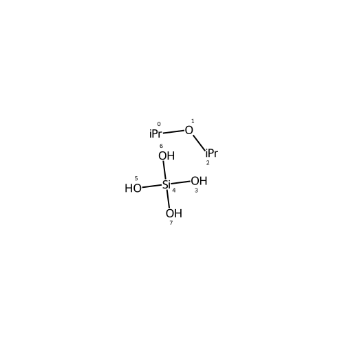 CC(C)OC(C)C.O[Si](O)(O)O